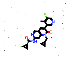 Cc1c(F)cncc1-c1cc2cnc(NC(=O)[C@H]3C[C@H]3F)cc2n(CC2CC2)c1=O